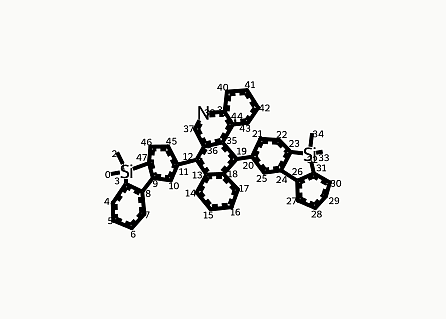 C[Si]1(C)c2ccccc2-c2cc(-c3c4ccccc4c(-c4ccc5c(c4)-c4ccccc4[Si]5(C)C)c4c3cnc3ccccc34)ccc21